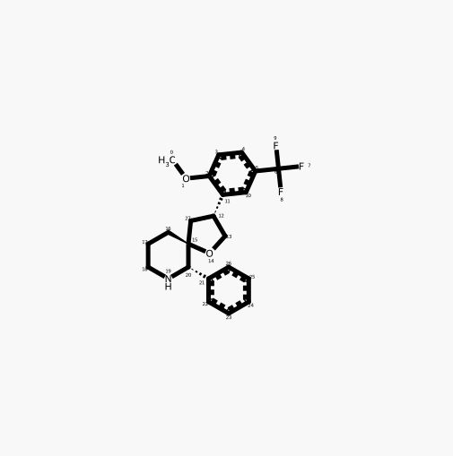 COc1ccc(C(F)(F)F)cc1[C@@H]1CO[C@@]2(CCCN[C@H]2c2ccccc2)C1